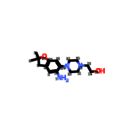 CC1(C)Cc2cc(N)c(N3CCN(CCO)CC3)cc2O1